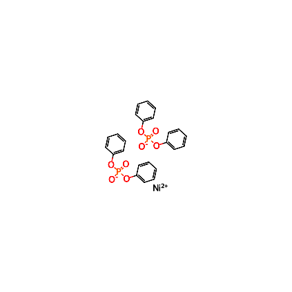 O=P([O-])(Oc1ccccc1)Oc1ccccc1.O=P([O-])(Oc1ccccc1)Oc1ccccc1.[Ni+2]